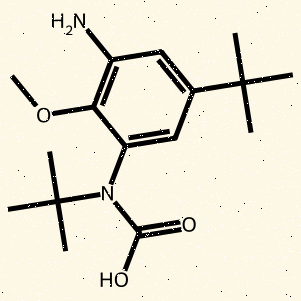 COc1c(N)cc(C(C)(C)C)cc1N(C(=O)O)C(C)(C)C